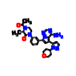 CC(=O)N1CCN(c2cccc(-c3cc(-c4ccnn4C4CCOCC4)c4c(N)ncnn34)c2)C(=O)C1C